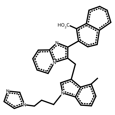 Cc1cccc2c1c(Cc1c(-c3ccc4ccccc4c3C(=O)O)nc3ccccn13)cn2CCCn1ccnc1